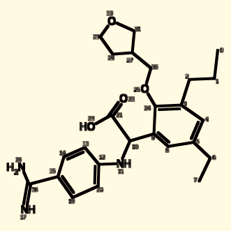 CCCc1cc(CC)cc(C(Nc2ccc(C(=N)N)cc2)C(=O)O)c1OCC1CCOC1